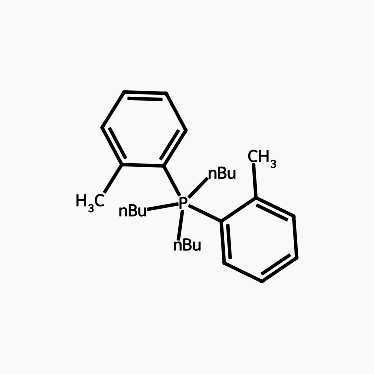 CCCCP(CCCC)(CCCC)(c1ccccc1C)c1ccccc1C